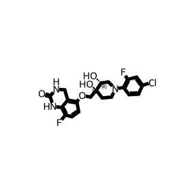 O=C1NCc2c(OC[C@]3(O)CCN(c4ccc(Cl)cc4F)C[C@H]3O)ccc(F)c2N1